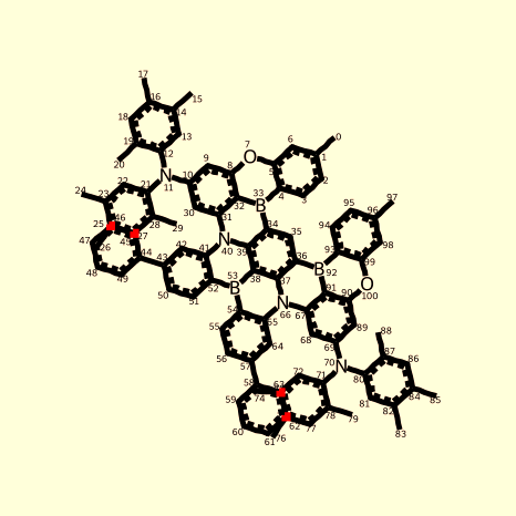 Cc1ccc2c(c1)Oc1cc(N(c3cc(C)c(C)cc3C)c3cc(C)c(C)cc3C)cc3c1B2c1cc2c4c5c1N3c1cc(-c3ccccc3)ccc1B5c1ccc(-c3ccccc3)cc1N4c1cc(N(c3cc(C)c(C)cc3C)c3cc(C)c(C)cc3C)cc3c1B2c1ccc(C)cc1O3